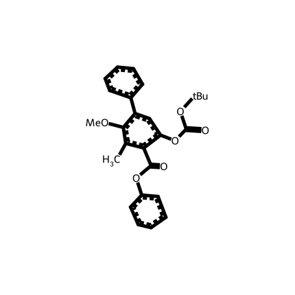 COc1c(-c2ccccc2)cc(OC(=O)OC(C)(C)C)c(C(=O)Oc2ccccc2)c1C